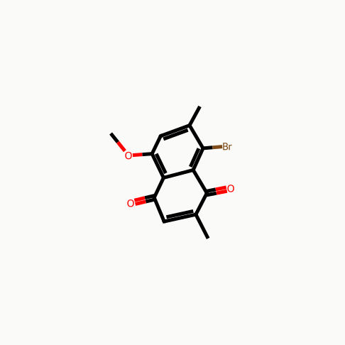 COc1cc(C)c(Br)c2c1C(=O)C=C(C)C2=O